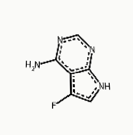 Nc1ncnc2[nH]cc(F)c12